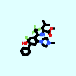 COC(=O)C(CC(C)C)NC(C1=C(N2CCN(C)CC2)C=C(c2ccccc2)C(O)(F)C1)C(F)(F)F